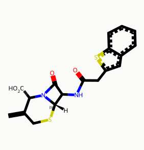 C=C1CS[C@H]2C(NC(=O)Cc3cc4ccccc4s3)C(=O)N2C1C(=O)O